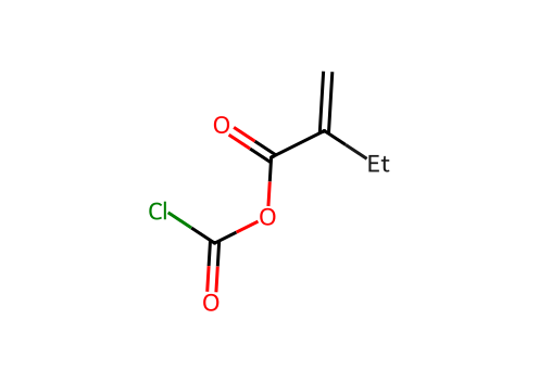 C=C(CC)C(=O)OC(=O)Cl